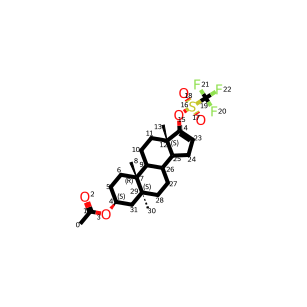 CC(=O)O[C@H]1CC[C@]2(C)C3CC[C@]4(C)C(OS(=O)(=O)C(F)(F)F)=CCC4C3CC[C@@]2(C)C1